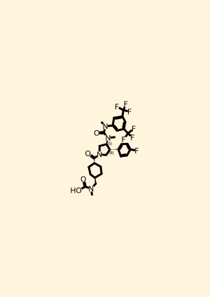 CN(C[C@H]1CC[C@H](C(=O)N2C[C@@H](N(C)C(=O)N(C)c3cc(C(F)(F)F)cc(C(F)(F)F)c3)[C@H](c3ccc(F)cc3)C2)CC1)C(=O)O